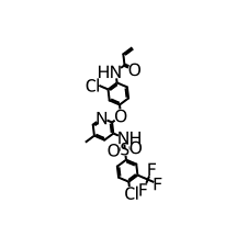 C=CC(=O)Nc1ccc(Oc2ncc(C)cc2NS(=O)(=O)c2ccc(Cl)c(C(F)(F)F)c2)cc1Cl